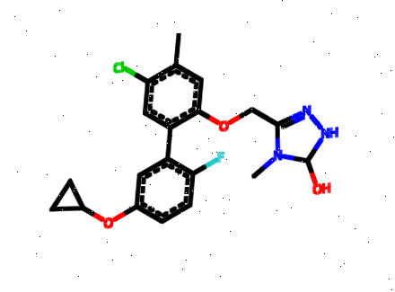 Cc1cc(OCC2=NNC(O)N2C)c(-c2cc(OC3CC3)ccc2F)cc1Cl